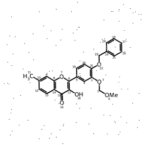 COCOc1cc(-c2oc3cc(C)ccc3c(=O)c2O)ccc1OCc1ccccc1